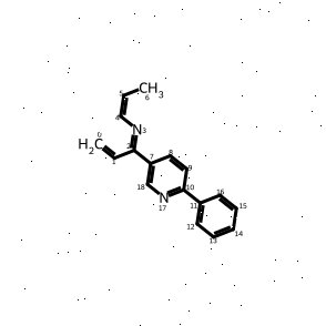 C=C/C(=N\C=C/C)c1ccc(-c2ccccc2)nc1